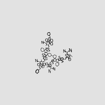 CCn1c(=C(C#N)C#N)s/c(=C\c2cc3c(s2)C2=C(c4sc5cc(/C=c6\sc(=C(C#N)C#N)n(CC)c6=O)sc5c4C24CCCCC4)C32CCCC(C3CCC4(CC3)C3=C(c5sc6cc(/C=C7/C(=O)N(C(=O)OCc8ccccc8)C(=O)C(C#N)=C7C)sc6c54)C4(CCCCC4)c4cc(/C=C5/C(=O)N(C(=O)OCc6ccccc6)C(=O)C(C#N)=C5C)sc43)C2)c1=O